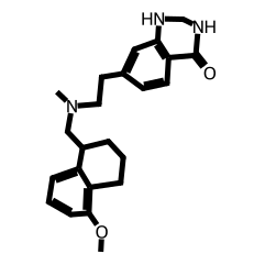 COc1cccc2c1CCCC2CN(C)CCc1ccc2c(c1)NCNC2=O